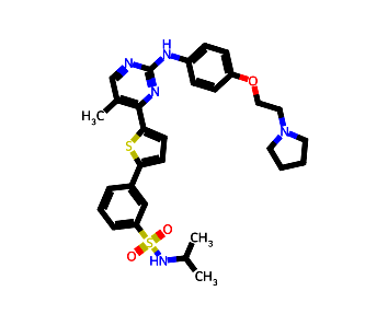 Cc1cnc(Nc2ccc(OCCN3CCCC3)cc2)nc1-c1ccc(-c2cccc(S(=O)(=O)NC(C)C)c2)s1